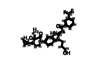 CC1(C)C(=O)N(c2ccc3c(c2)[nH]/c(=N\C(=O)c2cccc(C(F)F)c2)n3CCCO)CCN1C1CC1